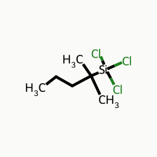 CCCC(C)(C)[Si](Cl)(Cl)Cl